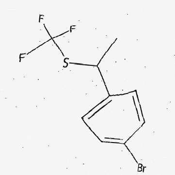 CC(SC(F)(F)F)c1ccc(Br)cc1